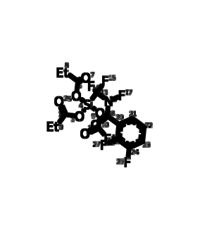 CCC(=O)O[Si](OC(=O)CC)(OC(=O)CC)C(F)(F)N(F)C(=O)c1cccc(F)c1F